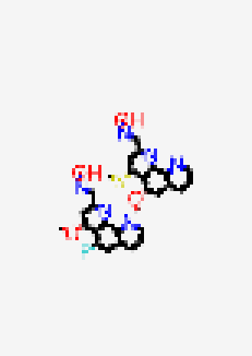 COc1cc(/C=N/O)nc2c1c(F)cc1cccnc12.COc1cc2cccnc2c2nc(/C=N/O)cc(SC)c12